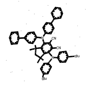 CC(C)(C)c1ccc(N(c2ccc(C(C)(C)C)cc2)c2c(C#N)c(C#N)c(N(c3ccc(-c4ccccc4)cc3)c3ccc(-c4ccccc4)cc3)c3c2C(C)(C)CC3(C)C)cc1